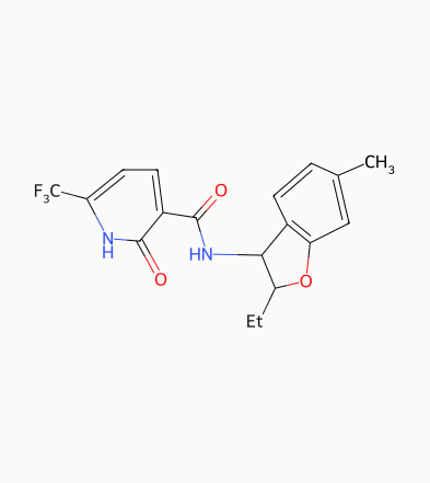 CCC1Oc2cc(C)ccc2C1NC(=O)c1ccc(C(F)(F)F)[nH]c1=O